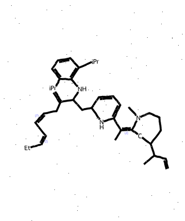 C=CC(C)C1CCCN(C)/C(=C(/C)C2=CC=CC(CC(Nc3c(C(C)C)cccc3C(C)C)C(=C)C/C=C\C=C/CC)N2)C1